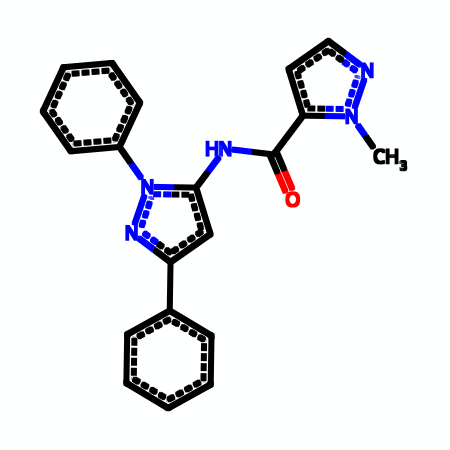 Cn1nccc1C(=O)Nc1cc(-c2ccccc2)nn1-c1ccccc1